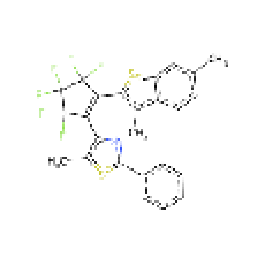 Cc1ccc2c(C)c(C3=C(c4nc(-c5ccccc5)sc4C)C(F)(F)C(F)(F)C3(F)F)sc2c1